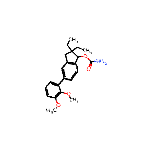 CCC1(CC)Cc2cc(-c3cccc(OC)c3OC)ccc2C1OC(N)=O